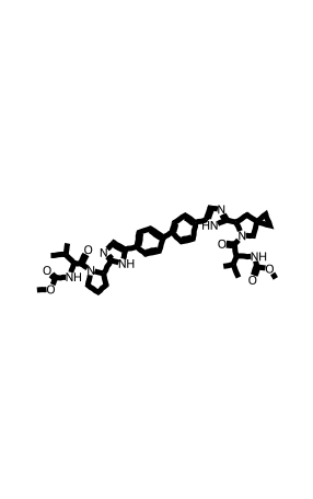 COC(=O)NC(C(=O)N1CCCC1c1ncc(-c2ccc(-c3ccc(-c4cnc(C5CC6(CC6)CN5C(=O)C(NC(=O)OC)C(C)C)[nH]4)cc3)cc2)[nH]1)C(C)C